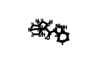 O=C(c1n[nH]c2ccccc12)N1[C@@H]2C[C@@H]3C[N@@](CC[C@@H]31)C2